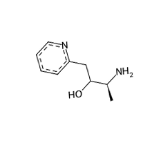 C[C@H](N)C(O)Cc1ccccn1